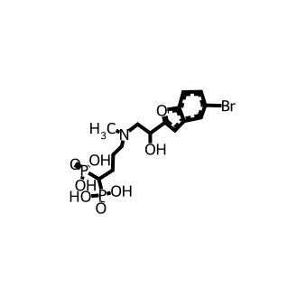 CN(CCCC(P(=O)(O)O)P(=O)(O)O)CC(O)c1cc2cc(Br)ccc2o1